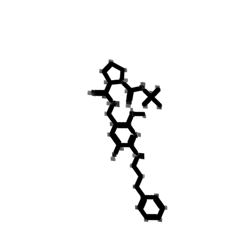 COc1nc(NCCCc2ccccc2)c(F)cc1CNC(=O)C1CCCN1C(=O)OC(C)(C)C